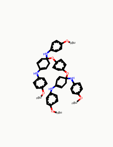 CCCCOc1ccc(NC2=CCC(Nc3ccc(OCCCC)cc3)(Oc3ccc(OC4(Nc5ccc(OCCCC)cc5)C=CC(Nc5ccc(OCCCC)cc5)=CC4)cc3)C=C2)cc1